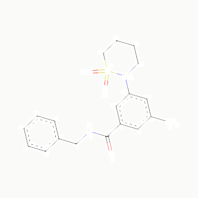 Cc1cc(C(=O)NCc2ccccc2)cc(N2CCCCS2(=O)=O)c1